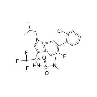 CC(C)Cn1cc([C@H](NS(=O)(=O)N(C)C)C(F)(F)F)c2cc(F)c(-c3ccccc3Cl)cc21